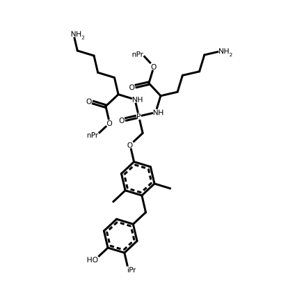 CCCOC(=O)C(CCCCN)NP(=O)(COc1cc(C)c(Cc2ccc(O)c(C(C)C)c2)c(C)c1)NC(CCCCN)C(=O)OCCC